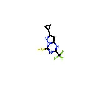 FC(F)(F)c1nc(S)n2nc(C3CC3)cc2n1